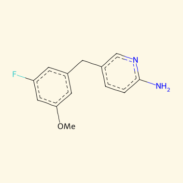 COc1cc(F)cc(Cc2ccc(N)nc2)c1